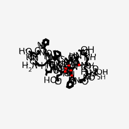 CSCC(NC(=O)C(CCC(=O)O)NC(=O)C(Cc1c[nH]c2ccccc12)NC(=O)C(CC(C)C)NC(=O)C1(C)CCCCC(N)C(=O)NC(CC(=O)O)C(=O)NC(Cc2cn(C)c3ccccc23)C(=O)N1)C(=O)NC(CS)C(=O)NC1CC2(CSCC(C(=O)NC(CS)C(=O)O)NC(=O)C(C)NC(=O)C(Cc3ccccc3)NC(=O)C(CC(C)C)NC2=O)NC(=O)CNC(=O)C(C(C)O)NC1=O